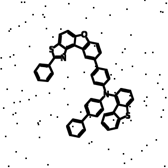 c1ccc(-c2ccc(N(c3ccc(-c4ccc5oc6ccc7sc(-c8ccccc8)nc7c6c5c4)cc3)c3cccc4sc5ccccc5c34)cc2)cc1